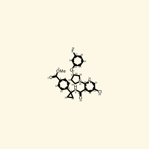 COC(=O)c1ccc(C2(NC(=O)c3cc(Cl)cnc3N3CC[C@H](Oc4cccc(F)c4)C3)CC2)cc1